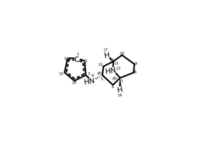 c1ccc(N[C@H]2C[C@H]3CCC[C@@H](C2)N3)cc1